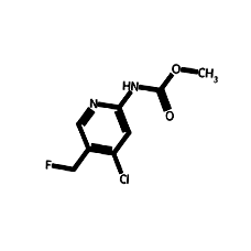 COC(=O)Nc1cc(Cl)c(CF)cn1